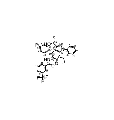 CCN1C(=O)[C@H](NC(=O)c2cccc(C(F)(F)F)c2)[C@H](c2ccc(F)cc2)c2c([C@@H](C)O)nn(-c3ccccc3)c21